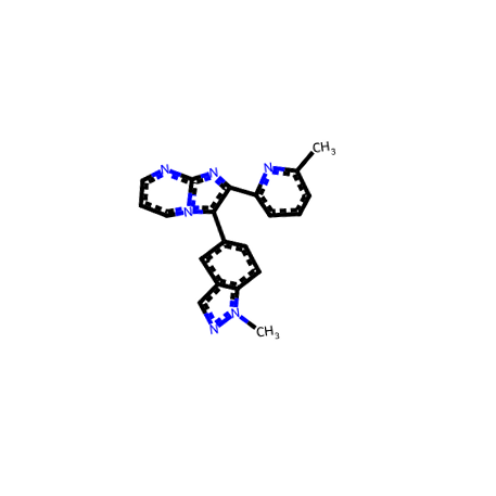 Cc1cccc(-c2nc3ncccn3c2-c2ccc3c(cnn3C)c2)n1